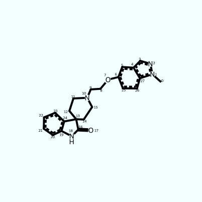 Cn1ncc2cc(OCCN3CCC4(CC3)C(=O)Nc3ccccc34)ccc21